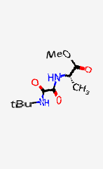 COC(=O)[C@H](C)NC(=O)C(=O)NC(C)(C)C